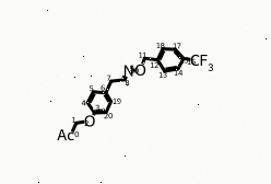 CC(=O)COc1ccc(CC=NOCc2ccc(C(F)(F)F)cc2)cc1